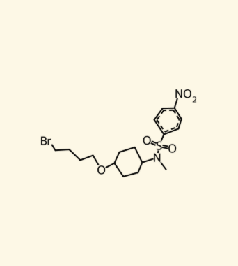 CN(C1CCC(OCCCCBr)CC1)S(=O)(=O)c1ccc([N+](=O)[O-])cc1